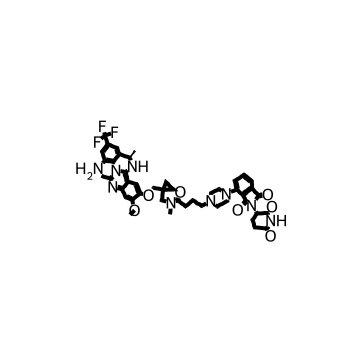 COc1cc2nc(C)nc(N[C@H](C)c3cc(N)cc(C(F)(F)F)c3)c2cc1OCC1(CN(C)C(=O)CCCN2CCN(c3cccc4c3C(=O)N(C3CCC(=O)NC3=O)C4=O)CC2)CC1